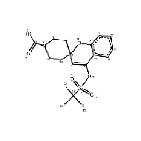 O=C(O)N1CCC2(C=C(OS(=O)(=O)C(F)(F)F)c3ccccc3O2)CC1